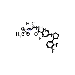 C[C@H](/C=C/S(C)(=O)=O)NC(=O)c1ncc(N2CCCC2c2cccc(F)c2F)cc1F